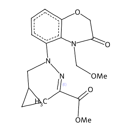 COCN1C(=O)COc2cccc(N(CC3CC3)/N=C(\C)C(=O)OC)c21